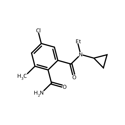 CCN(C(=O)c1cc(Cl)cc(C)c1C(N)=O)C1CC1